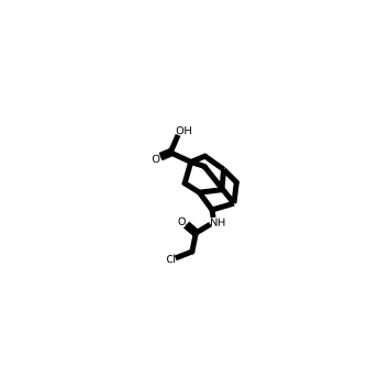 O=C(CCl)NC1C2CC3CC1CC(C(=O)O)(C3)C2